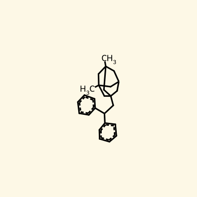 CC12CC3CC(C)(C1)CC(CC(c1ccccc1)c1ccccc1)(C3)C2